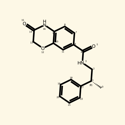 C[C@@H](CNC(=O)c1ccc2c(c1)OCC(=O)N2)c1ccccc1